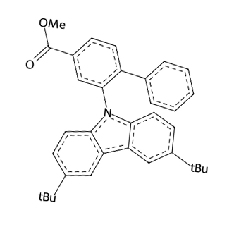 COC(=O)c1ccc(-c2ccccc2)c(-n2c3ccc(C(C)(C)C)cc3c3cc(C(C)(C)C)ccc32)c1